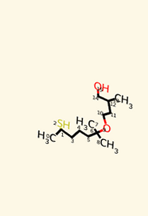 CC(S)CCCC(C)(C)OCCC(C)CO